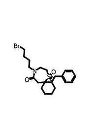 O=C1CC2(CCCCC2Cc2ccccc2)S(=O)(=O)CCN1CCCCBr